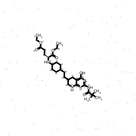 CCOC(=O)CC[C@H](NC1CCC(CCC2CNc3nc(NC(=O)C(C)(C)C)nc(O)c3C2)CC1)C(=O)OCC